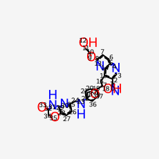 N#Cc1cnc2ccc(OCCO)nc2c1CC(O)C12CCC(NCc3ccc4c(n3)NC(=O)CO4)(CC1)CO2